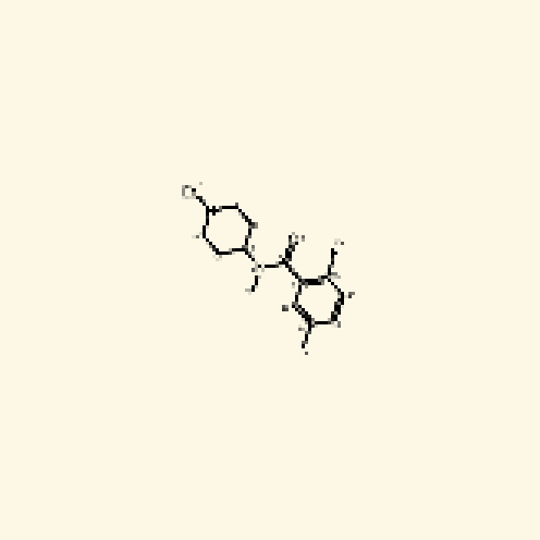 CCN1CCC(N(C)C(=O)c2cc(C)ccc2F)CC1